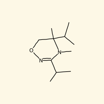 CC(C)C1=NOCC(C)(C(C)C)N1C